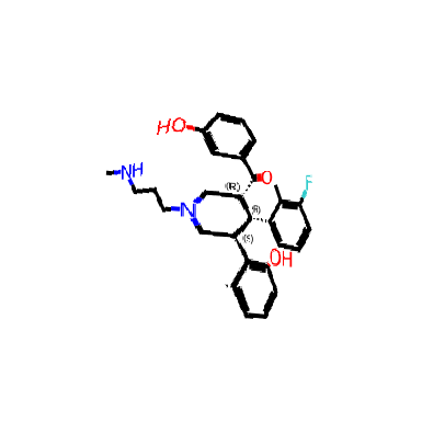 CNCCCN1C[C@H](C(=O)c2cccc(O)c2)[C@H](c2cccc(F)c2C)[C@@H](c2[c]cccc2O)C1